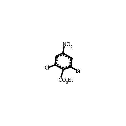 CCOC(=O)c1c(Cl)cc([N+](=O)[O-])cc1Br